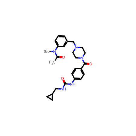 CC(C)(C)N(C(=O)C(F)(F)F)c1cccc(CN2CCN(C(=O)c3ccc(NC(=O)NCC4CC4)cc3)CC2)c1